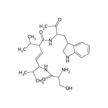 CC(=O)C(CC1CNc2ccccc21)NC(=O)C(/C=C/C(NC(=O)C(N)CO)C(C)C)C(C)C